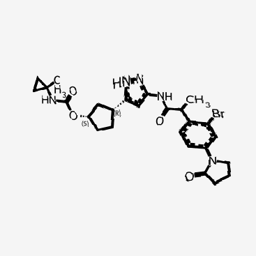 CC(C(=O)Nc1cc([C@@H]2CC[C@H](OC(=O)NC3(C)CC3)C2)[nH]n1)c1ccc(N2CCCC2=O)cc1Br